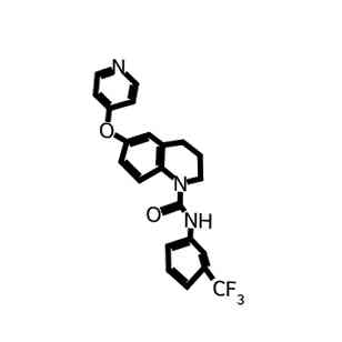 O=C(Nc1cccc(C(F)(F)F)c1)N1CCCc2cc(Oc3ccncc3)ccc21